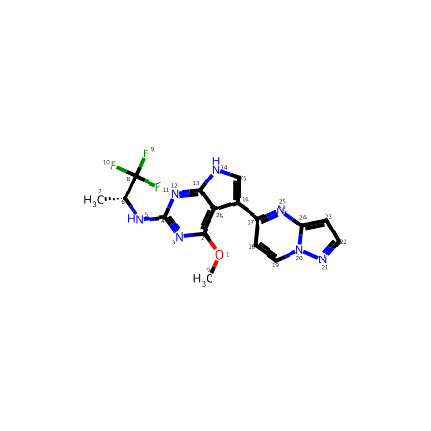 COc1nc(N[C@H](C)C(F)(F)F)nc2[nH]cc(-c3ccn4nccc4n3)c12